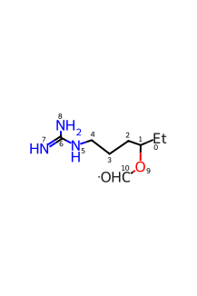 CCC(CCCNC(=N)N)O[C]=O